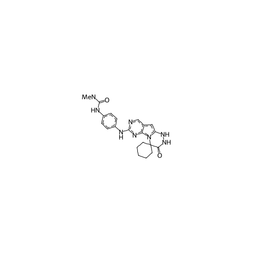 CNC(=O)Nc1ccc(Nc2ncc3cc4n(c3n2)C2(CCCCC2)C(=O)NN4)cc1